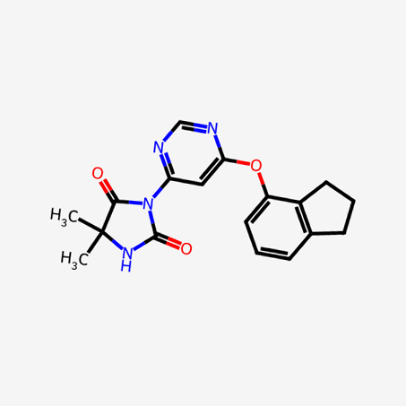 CC1(C)NC(=O)N(c2cc(Oc3cccc4c3CCC4)ncn2)C1=O